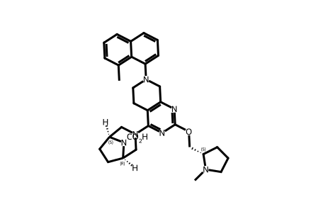 Cc1cccc2cccc(N3CCc4c(nc(OC[C@@H]5CCCN5C)nc4N4C[C@H]5CC[C@@H](C4)N5C(=O)O)C3)c12